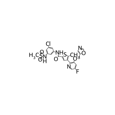 Cc1sc(C(=O)Nc2cc(Cl)cc(NS(C)(=O)=O)c2)cc1-c1ncc(F)cc1OCc1cnco1